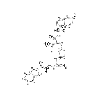 CC(CCNC(=O)c1cc2ccccc2s1)CC(=O)N1CCN(C(=O)CNS(=O)(=O)c2ccc(Cl)cc2Cl)[C@@H](C)C1